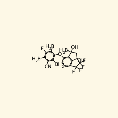 Bc1c(F)c(B)c(Oc2ccc3c4c2[C@](B)(O)C[C@]4(O)C(F)(F)C3(F)F)c(B)c1C#N